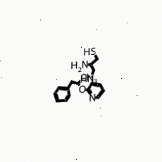 CC(Cc1ccccc1)Oc1ncccc1NCC(N)CS